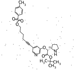 Cc1ccc(S(=O)(=O)OCCCCC#Cc2cncc(OC(C(=O)OC(C)(C)C)[C@@H]3CCCN3)c2)cc1